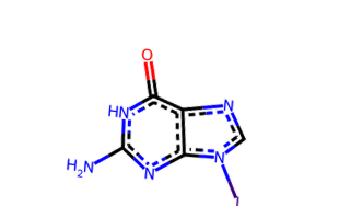 Nc1nc2c(ncn2I)c(=O)[nH]1